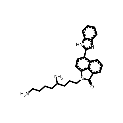 NCCCCC(N)CCCN1C(=O)c2cccc3c(-c4nc5ccccc5[nH]4)ccc1c23